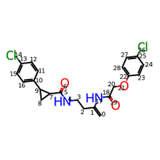 C=C(CCNC(=O)C1CC1c1ccc(Cl)cc1)NC(=O)COc1ccc(Cl)cc1